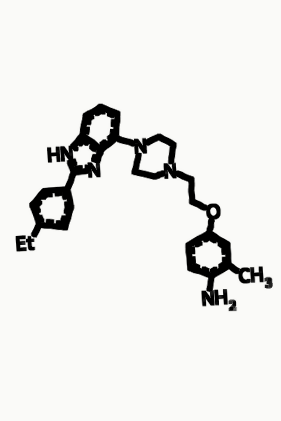 CCc1ccc(-c2nc3c(N4CCN(CCOc5ccc(N)c(C)c5)CC4)cccc3[nH]2)cc1